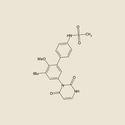 COc1c(-c2ccc(NS(C)(=O)=O)cc2)cc(-n2c(=O)cc[nH]c2=O)cc1C(C)(C)C